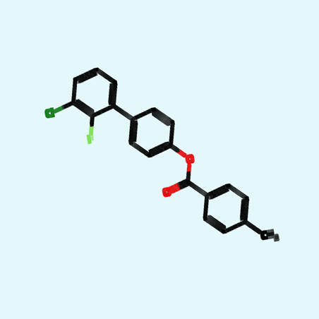 Cc1ccc(C(=O)Oc2ccc(-c3cccc(Cl)c3F)cc2)cc1